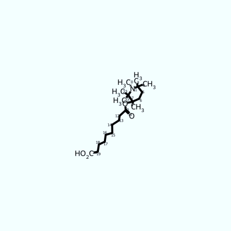 CN1C(C)(C)CCC(C)(OC(=O)CCCCCCCCC(=O)O)C1(C)C